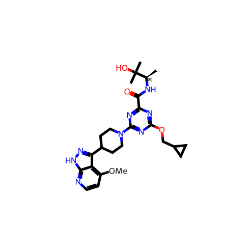 COc1ccnc2[nH]nc(C3CCN(c4nc(OCC5CC5)nc(C(=O)N[C@H](C)C(C)(C)O)n4)CC3)c12